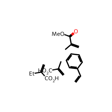 C=C(C)C(=O)O.C=C(C)C(=O)OC.C=C(CC)C(=O)O.C=Cc1ccccc1